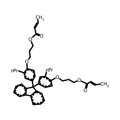 CC=CC(=O)OCCCOc1ccc(C2(c3ccc(OCCCOC(=O)C=CC)c(CCC)c3)c3ccccc3-c3ccccc32)cc1CCC